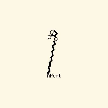 CCCCCC=CCC=CCCCCCCCCOC1CCOC1=O